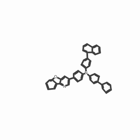 c1ccc(-c2ccc(N(c3ccc(-c4cnc5c(c4)oc4ccccc45)cc3)c3ccc(-c4cccc5ccccc45)cc3)cc2)cc1